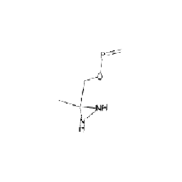 C=POCC1(C)NN1